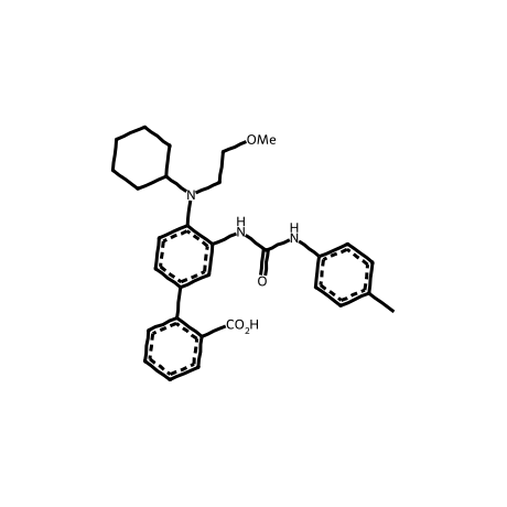 COCCN(c1ccc(-c2ccccc2C(=O)O)cc1NC(=O)Nc1ccc(C)cc1)C1CCCCC1